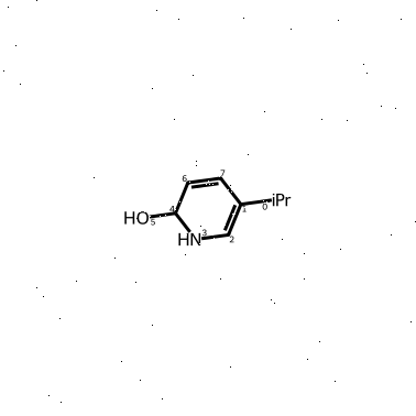 CC(C)C1=CNC(O)C=C1